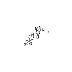 CC(C)(C)OC(=O)N1CCN(Cc2c(Cl)cc3c(N)ncnn23)CC1